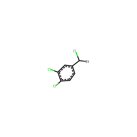 CCC(Cl)c1ccc(Cl)c(Cl)c1